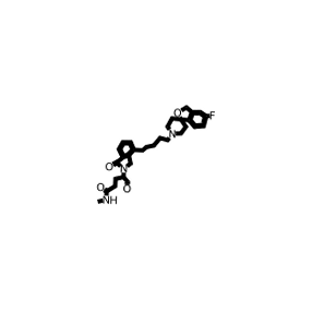 CNC(=O)CCC(C=O)N1Cc2c(CCCCCN3CCC4(CC3)OCc3cc(F)ccc34)cccc2C1=O